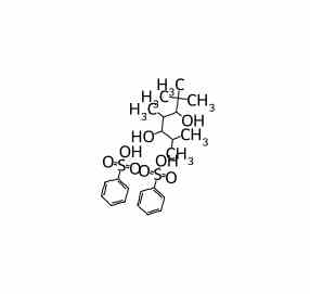 CC(C)C(O)C(C)C(O)C(C)(C)C.O=S(=O)(O)c1ccccc1.O=S(=O)(O)c1ccccc1